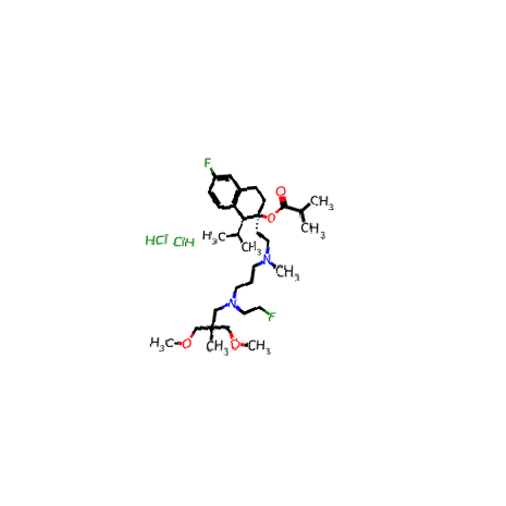 COCC(C)(COC)CN(CCF)CCCN(C)CC[C@@]1(OC(=O)C(C)C)CCc2cc(F)ccc2[C@@H]1C(C)C.Cl.Cl